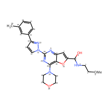 COCCNC(O)c1cc2nc(-n3ccc(-c4cccc(C)c4)n3)nc(N3CCOCC3)c2o1